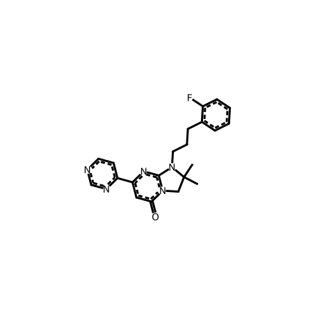 CC1(C)Cn2c(nc(-c3ccncn3)cc2=O)N1CCCc1ccccc1F